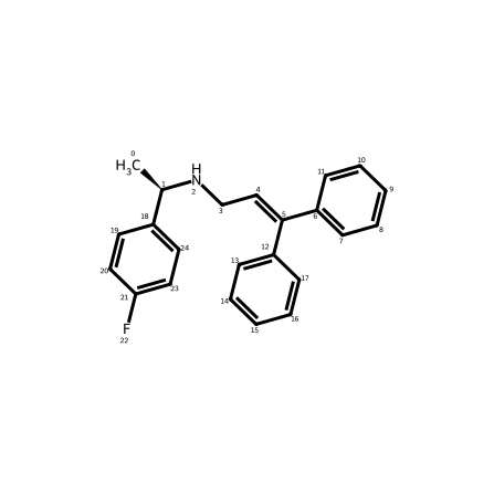 C[C@@H](NCC=C(c1ccccc1)c1ccccc1)c1ccc(F)cc1